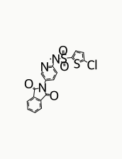 O=C1c2ccccc2C(=O)N1c1ccc([N]S(=O)(=O)c2ccc(Cl)s2)nc1